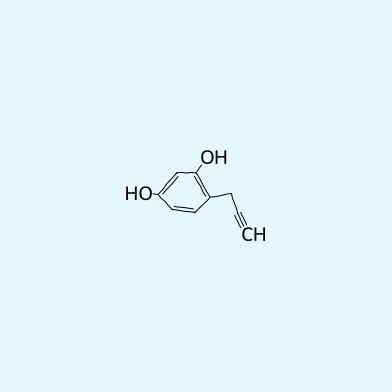 C#CCc1ccc(O)cc1O